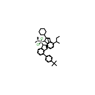 CCC1=Cc2c(-c3ccc(C(C)(C)C)cc3)cccc2[CH]1[Zr]([Cl])([Cl])([CH]1C(C2CCCCC2)=Cc2c(C(C)CC)cccc21)[SiH](C)C